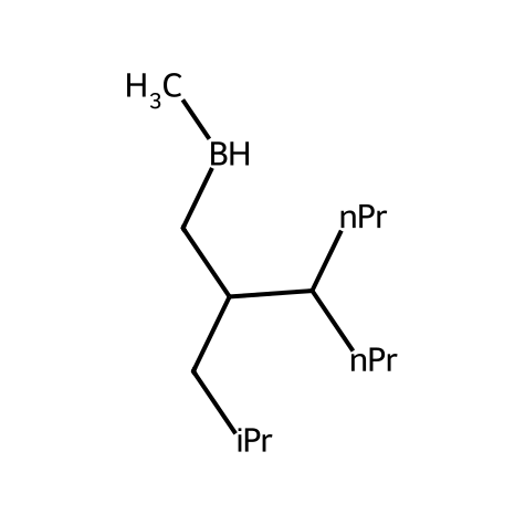 CBCC(CC(C)C)C(CCC)CCC